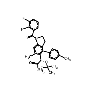 Cc1ccc(-c2c3c(cc(C)c2[C@H](OC(C)(C)C)C(=O)O)N(C(=O)c2cccc(F)c2F)CC3)cc1